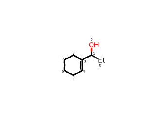 CCC(O)C1=CCCCC1